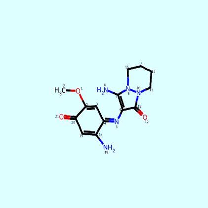 COC1=CC(=Nc2c(N)n3n(c2=O)CCCC3)C(N)=CC1=O